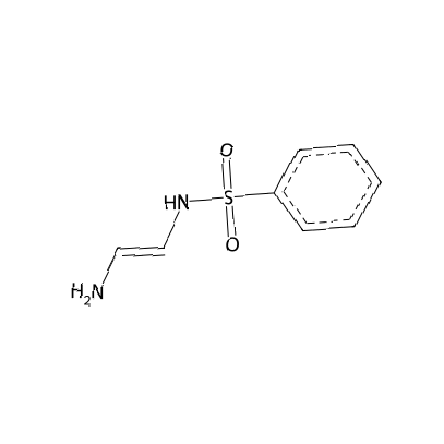 N/C=C/NS(=O)(=O)c1ccccc1